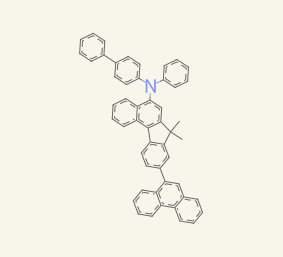 CC1(C)c2cc(-c3cc4ccccc4c4ccccc34)ccc2-c2c1cc(N(c1ccccc1)c1ccc(-c3ccccc3)cc1)c1ccccc21